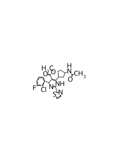 COC(=O)C1=C(C2CCC(NC(C)=O)C2)NC(c2nccs2)=NC1c1cccc(F)c1Cl